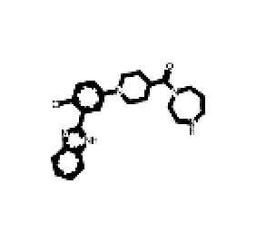 O=C(C1CCN(c2ccc(Cl)c(-c3nc4ccccc4[nH]3)c2)CC1)N1CCCNCC1